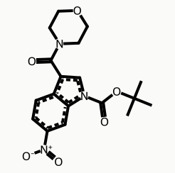 CC(C)(C)OC(=O)n1cc(C(=O)N2CCOCC2)c2ccc([N+](=O)[O-])cc21